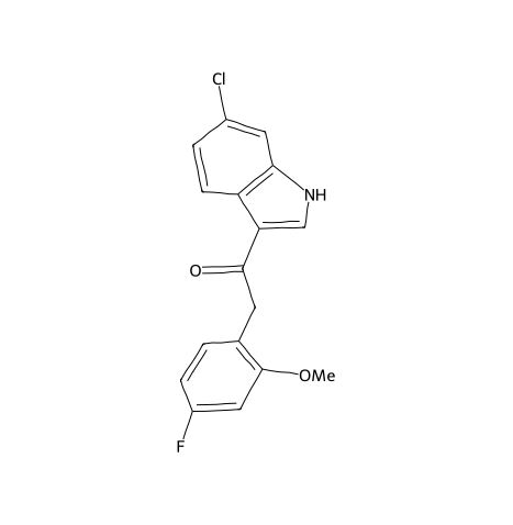 COc1cc(F)ccc1CC(=O)c1c[nH]c2cc(Cl)ccc12